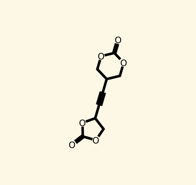 O=C1OCC(C#CC2COC(=O)O2)CO1